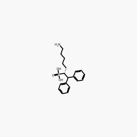 NCCCCC[C@H](C(c1ccccc1)c1ccccc1)P(=O)(O)O